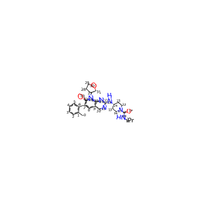 Cc1ccccc1-c1cc2cnc(NC3CCN(C(=O)NC(C)C)CC3)nc2n(C2CCOC2)c1=O